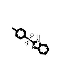 Cc1ccc(S(=O)(=O)c2nc3ccccc3[nH]2)cc1